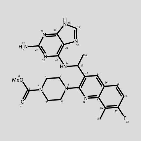 COC(=O)N1CCN(c2nc3c(C)c(F)ccc3cc2C(C)Nc2nc(N)nc3[nH]cnc23)CC1